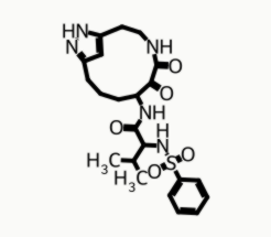 CC(C)C(NS(=O)(=O)c1ccccc1)C(=O)NC1CCCc2cc([nH]n2)CCNC(=O)C1=O